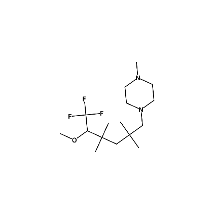 COC(C(F)(F)F)C(C)(C)CC(C)(C)CN1CCN(C)CC1